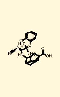 CC(C)(Oc1ccccc1Cl)/C(=N/C#N)NC1C2CC3CC1CC(C(=O)O)(C3)C2